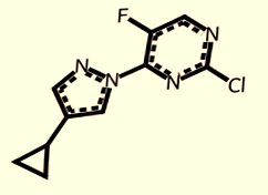 Fc1cnc(Cl)nc1-n1cc(C2CC2)cn1